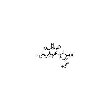 O=c1[nH]c(=O)n([C@@H]2CC(O)[C@H](CO)O2)cc1C=CCl